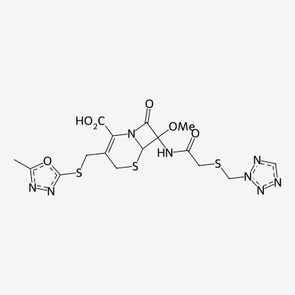 COC1(NC(=O)CSCn2ncnn2)C(=O)N2C(C(=O)O)=C(CSc3nnc(C)o3)CSC21